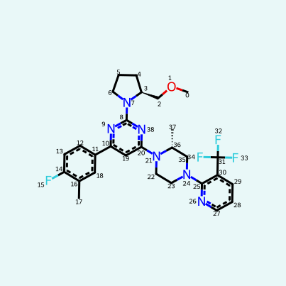 COC[C@@H]1CCCN1c1nc(-c2ccc(F)c(C)c2)cc(N2CCN(c3ncccc3C(F)(F)F)C[C@H]2C)n1